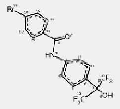 O=C(Nc1ccc(C(O)(C(F)(F)F)C(F)(F)F)cc1)c1ccc(Br)cc1